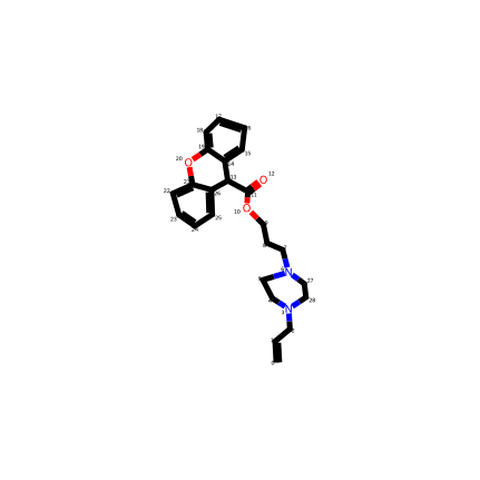 C=CCN1CCN(CCCOC(=O)C2c3ccccc3Oc3ccccc32)CC1